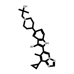 Cc1c(-c2[nH]c3ccc(C4CCN(CC(C)(C)O)CC4)cc3c2C(C)C)cn2ncnc2c1C1CC1